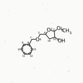 COC1OC(COCc2ccccc2)CC1O